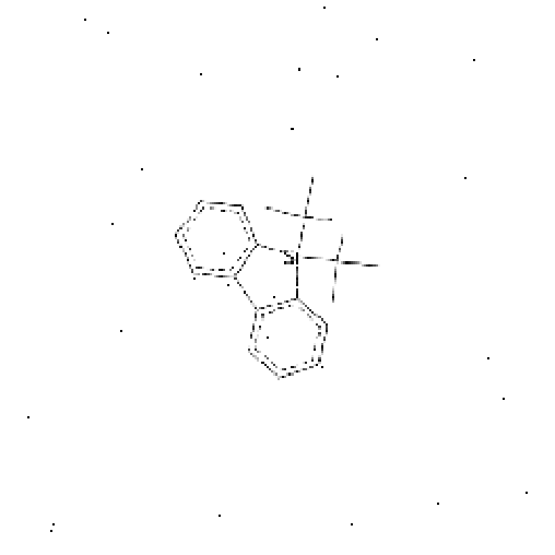 CC(C)(C)[Si]1(C(C)(C)C)c2ccccc2-c2ccccc21